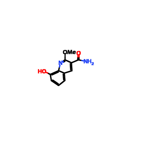 COc1nc2c(O)cccc2cc1C(N)=O